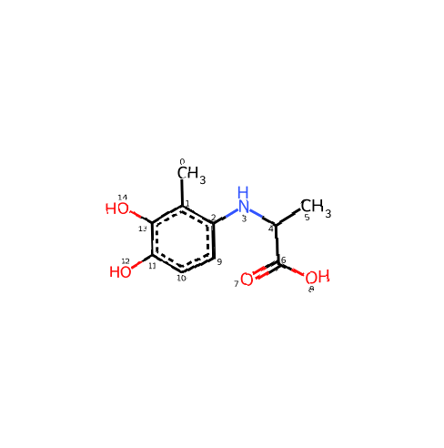 Cc1c(NC(C)C(=O)O)ccc(O)c1O